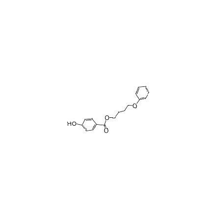 O=C(OCCCCOc1ccccc1)c1ccc(O)cc1